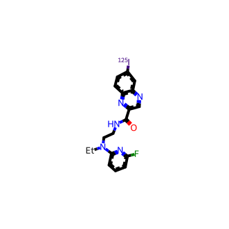 CCN(CCNC(=O)c1cnc2cc([125I])ccc2n1)c1cccc(F)n1